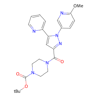 COc1ccc(-n2nc(C(=O)N3CCN(C(=O)OC(C)(C)C)CC3)cc2-c2ccccn2)cn1